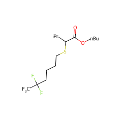 CCCCOC(=O)C(SCCCCC(F)(F)C(F)(F)F)C(C)C